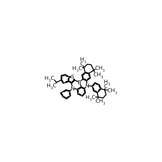 CC(C)c1ccc2sc3c(c2c1)N(c1ccccc1)c1cccc2c1B3c1cc3c(cc1N2c1ccc2c(c1)C(C)(C)CCC2(C)C)C(C)(C)CCC3(C)C